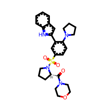 O=C([C@@H]1CCCN1S(=O)(=O)c1ccc(N2CCCC2)c(-c2cc3ccccc3[nH]2)c1)N1CCOCC1